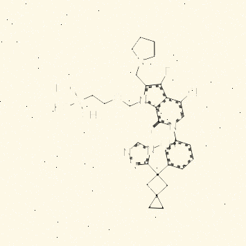 Cn1cnnc1C1(c2cccc(-n3cc(Cl)c4c(F)c(CN5CCCC5)n(COCC[Si](C)(C)C)c4c3=O)c2)CC2(CC2)C1